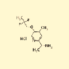 Cc1cc(C(C)N)ncc1OCC(C)(F)F.Cl